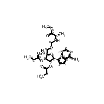 CCC(=O)O[C@H]1[C@H](c2ccc3c(N)ncnn23)O[C@](C)(COCN[C@@H](C)C(=O)OC)[C@H]1OC(=O)CC